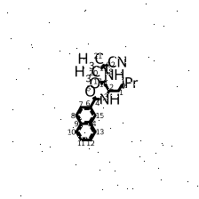 CC(C)CC(NC(=O)c1ccc2ccccc2c1)C(=O)NC(C)(C)C#N